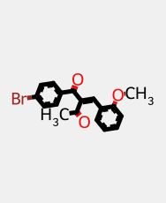 COc1ccccc1C=C(C(C)=O)C(=O)c1ccc(Br)cc1